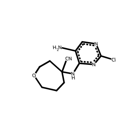 N#CC1(Nc2nc(Cl)ncc2N)CCCOCC1